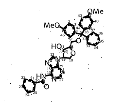 COc1ccc(C(OC[C@H]2OC[C@@H](n3cnc4c(NC(=O)c5ccccc5)ncnc43)[C@@H]2O)(c2ccccc2)c2ccc(OC)cc2)cc1